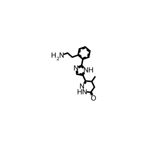 CC1CC(=O)NN=C1c1cnc(-c2ccccc2CCN)[nH]1